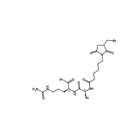 CC(C)CC1CC(=O)N(CCCCCC(=O)N[C@H](C(=O)N[C@@H](CCCNC(N)=O)C(=O)C(C)C)C(C)C)C1=O